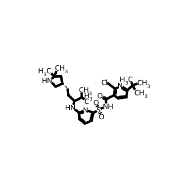 CC(C)C(CC[C@@H]1CNC(C)(C)C1)Nc1cccc(S(=O)(=O)NC(=O)c2ccc(C(C)(C)C)nc2Cl)n1